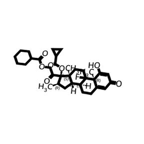 C[C@@H]1C[C@H]2[C@@H]3CCC4=CC(=O)C=C(O)[C@]4(C)C3(F)CC[C@]2(C)[C@@]1(OC(=O)C1CC1)C(=O)COC(=O)C1CCCCC1